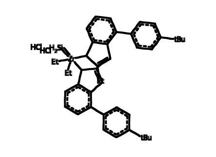 CCC1=Cc2c(-c3ccc(C(C)(C)C)cc3)cccc2[CH]1[Zr](=[SiH2])([CH2]C)([CH2]C)[CH]1C(C)=Cc2c(-c3ccc(C(C)(C)C)cc3)cccc21.Cl.Cl